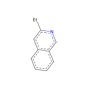 CCc1cc2ccccc2[c]n1